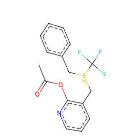 CC(=O)Oc1ncccc1C[SH](Cc1ccccc1)C(F)(F)F